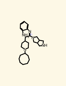 Nc1ccccc1/N=C(\CC1CCN(C2CCCCCCC2)CC1)N1CC2CNCC2C1